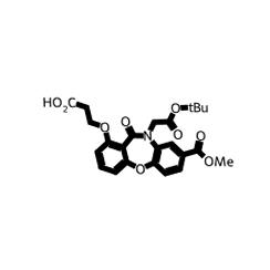 COC(=O)c1ccc2c(c1)N(CC(=O)OC(C)(C)C)C(=O)c1c(OCCC(=O)O)cccc1O2